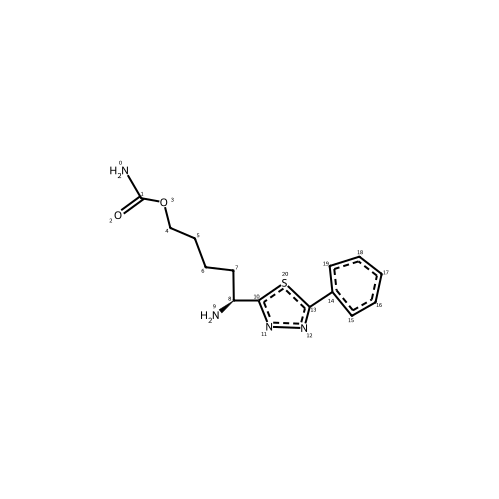 NC(=O)OCCCC[C@H](N)c1nnc(-c2ccccc2)s1